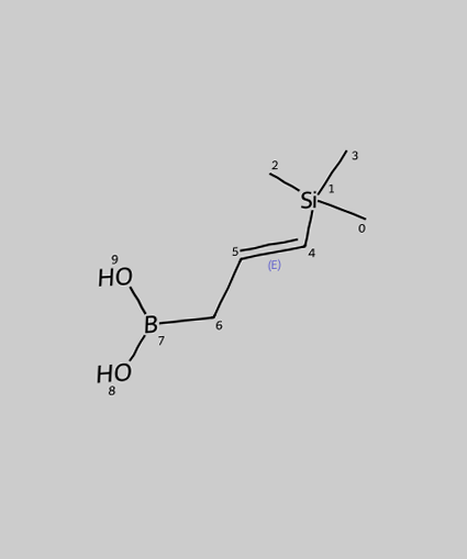 C[Si](C)(C)/C=C/CB(O)O